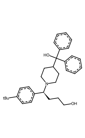 CC(C)(C)c1ccc([C@H](CCCO)N2CCC(C(O)(c3ccccc3)c3ccccc3)CC2)cc1